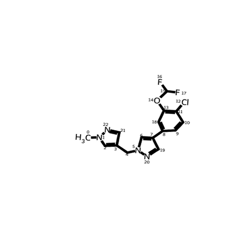 Cn1cc(Cn2cc(-c3ccc(Cl)c(OC(F)F)c3)cn2)cn1